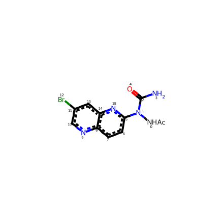 CC(=O)NN(C(N)=O)c1ccc2ncc(Br)cc2n1